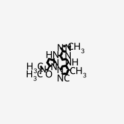 Cc1cc(C#N)ncc1Nc1cc(Nc2ccc(C(=O)N(C)C)nn2)c2ncn(C)c2n1